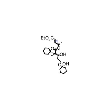 CCOC(=O)/C=C/[C@H](C)O[C@@H]1OC2(CCCCC2)O[C@@H]1[C@@H](O)CCOC1(O)CCCCC1